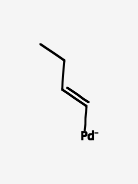 CCC=[CH][Pd-]